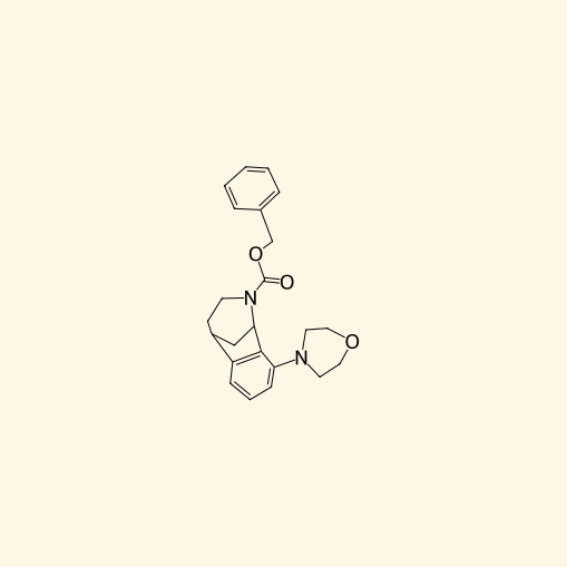 O=C(OCc1ccccc1)N1CCC2CC1c1c2cccc1N1CCOCC1